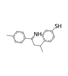 Cc1ccc(C(=N)CC(C)c2ccc(S)cc2)cc1